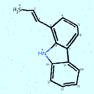 [SiH3]C=Cc1cccc2c1[nH]c1ccccc12